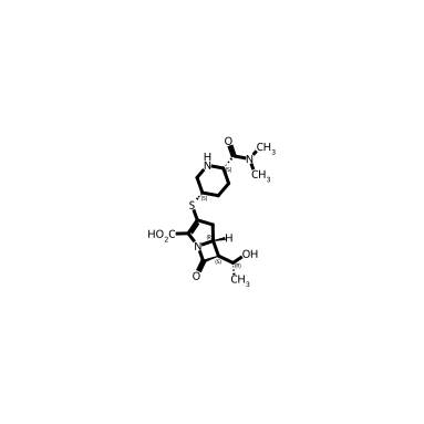 C[C@@H](O)[C@H]1C(=O)N2C(C(=O)O)=C(S[C@H]3CC[C@@H](C(=O)N(C)C)NC3)C[C@H]12